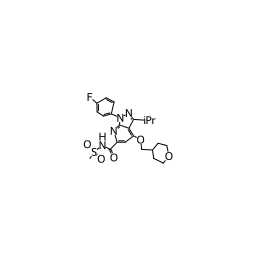 CC(C)c1nn(-c2ccc(F)cc2)c2nc(C(=O)NS(C)(=O)=O)cc(OCC3CCOCC3)c12